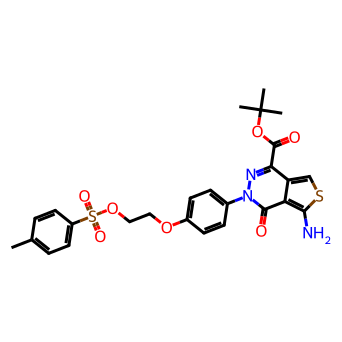 Cc1ccc(S(=O)(=O)OCCOc2ccc(-n3nc(C(=O)OC(C)(C)C)c4csc(N)c4c3=O)cc2)cc1